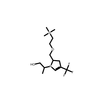 CC(CO)N1C=C(C(F)(F)F)CC1COCC[Si](C)(C)C